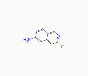 Nc1cnc2cnc(Cl)cc2c1